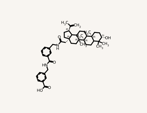 C=C(C)[C@@H]1CC[C@]2(CC(=O)NCc3cccc(C(=O)NCc4cccc(C(=O)O)c4)c3)CC[C@]3(C)C(CCC4[C@@]5(C)CC[C@H](O)C(C)(C)C5CC[C@]43C)C12